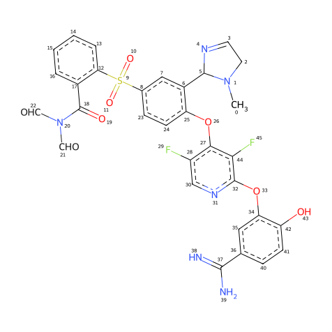 CN1CC=NC1c1cc(S(=O)(=O)c2ccccc2C(=O)N(C=O)C=O)ccc1Oc1c(F)cnc(Oc2cc(C(=N)N)ccc2O)c1F